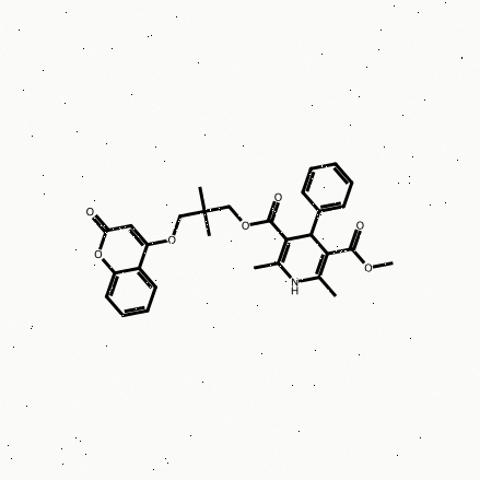 COC(=O)C1=C(C)NC(C)=C(C(=O)OCC(C)(C)COc2cc(=O)oc3ccccc23)C1c1ccccc1